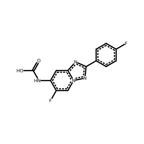 O=C(O)Nc1cc2nc(-c3ccc(F)cc3)nn2cc1F